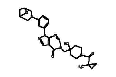 CC1(C(=O)N2CCC(O)(Cn3cnc4c(cnn4-c4cccc(N5CC6CC(C5)O6)c4)c3=O)CC2)CC1